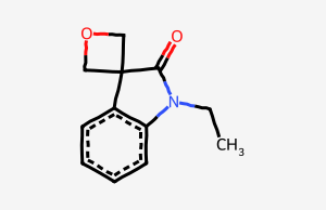 CCN1C(=O)C2(COC2)c2ccccc21